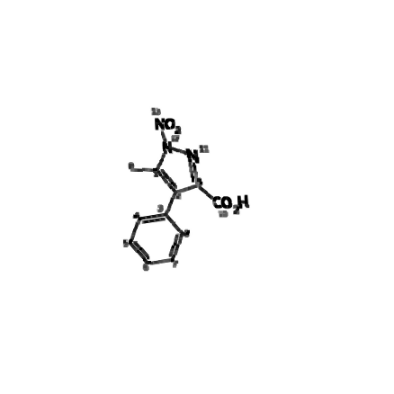 Cc1c(-c2ccccc2)c(C(=O)O)nn1[N+](=O)[O-]